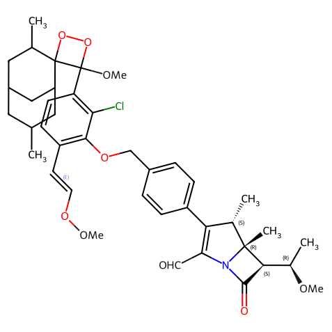 COO/C=C/c1ccc(C2(OC)OOC23C(C)CC2CC(C)CC3C2)c(Cl)c1OCc1ccc(C2=C(C=O)N3C(=O)[C@H]([C@@H](C)OC)[C@@]3(C)[C@H]2C)cc1